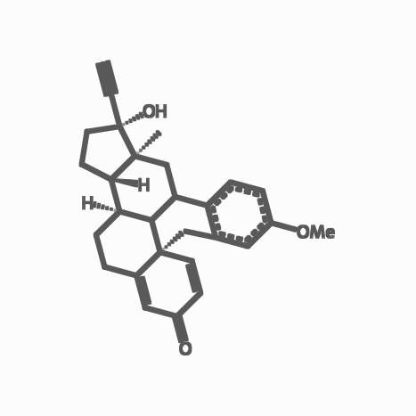 C#C[C@]1(O)CC[C@H]2[C@@H]3CCC4=CC(=O)C=C[C@@]45Cc4cc(OC)ccc4C(C[C@@]21C)C35